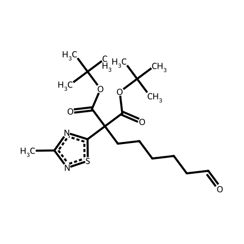 Cc1nsc(C(CCCCCC=O)(C(=O)OC(C)(C)C)C(=O)OC(C)(C)C)n1